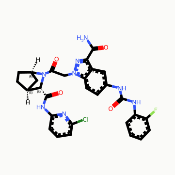 NC(=O)c1nn(CC(=O)N2[C@@H]3CC[C@@H](C3)[C@H]2C(=O)Nc2cccc(Cl)n2)c2ccc(NC(=O)Nc3ccccc3F)cc12